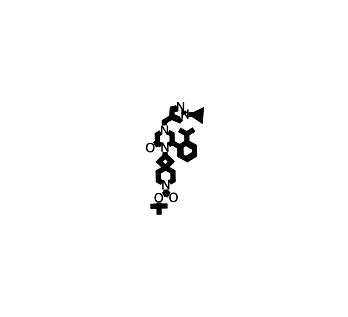 CC(C)c1ccccc1C1CN(Cc2cnn(C3CC3)c2)CC(=O)N1C1CC2(CCN(C(=O)OC(C)(C)C)CC2)C1